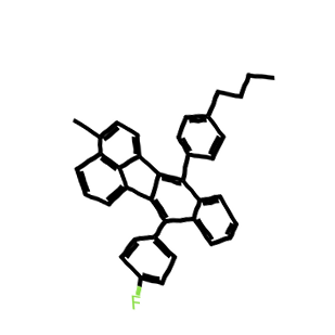 CCCCc1ccc(-c2c3c(c(-c4ccc(F)cc4)c4ccccc24)-c2cccc4c(C)ccc-3c24)cc1